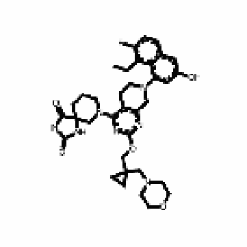 CCc1c(F)ccc2cc(O)cc(N3CCc4c(nc(OCC5(CN6CCOCC6)CC5)nc4N4CCCC5(C4)NC(=O)NC5=O)C3)c12